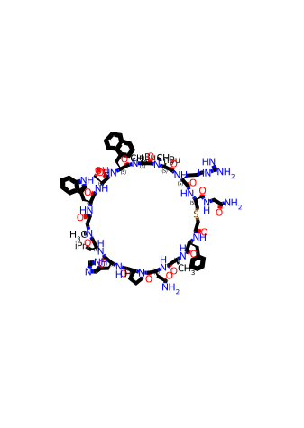 CCCC[C@H]1C(=O)N(C)[C@@H](CCCC)C(=O)N[C@@H](CCCNC(=N)N)C(=O)N[C@@H](C(=O)NCC(N)=O)CSCC(=O)N[C@@H](Cc2ccccc2)C(=O)N[C@@H](C)C(=O)N[C@@H](CC(N)=O)C(=O)N2CCC[C@H]2C(=O)N[C@@H](Cc2cnc[nH]2)C(=O)N[C@@H](CC(C)C)C(=O)N(C)CC(=O)N[C@@H](Cc2c[nH]c3ccccc23)C(=O)N[C@@H](CO)C(=O)N[C@@H](Cc2cccc3ccccc23)C(=O)N1C